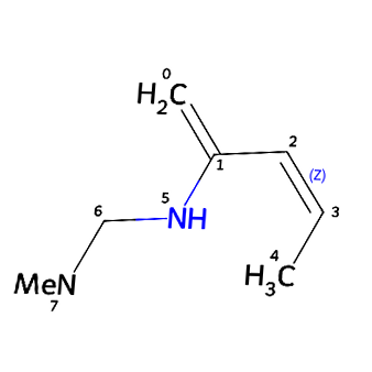 C=C(/C=C\C)NCNC